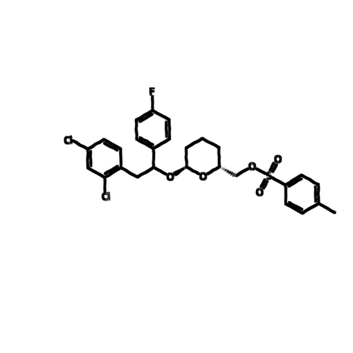 Cc1ccc(S(=O)(=O)OC[C@H]2CCC[C@H](OC(Cc3ccc(Cl)cc3Cl)c3ccc(F)cc3)O2)cc1